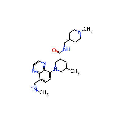 C/N=C\c1ccc(N2CC(C)CC(C(=O)NCC3CCN(C)CC3)C2)c2nccnc12